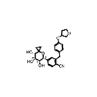 N#Cc1ccc([C@@H]2OC3(CC3)[C@@H](O)[C@H](O)[C@@H]2O)cc1Cc1ccc(OC2CCOC2)cc1